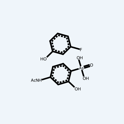 CC(=O)Nc1ccc([As](=O)(O)O)c(O)c1.Oc1cccc(F)c1